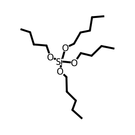 CCCCCO[Si](OCCCC)(OCCCC)OCCCCC